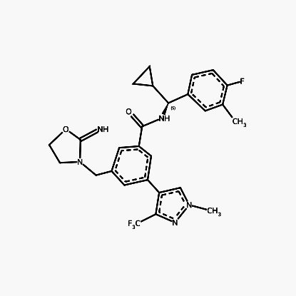 Cc1cc([C@@H](NC(=O)c2cc(CN3CCOC3=N)cc(-c3cn(C)nc3C(F)(F)F)c2)C2CC2)ccc1F